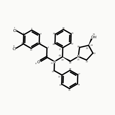 O=C(Cc1ccc(Cl)c(Cl)c1)N(Cc1ccccc1)[C@H](CN1CC[C@H](O)C1)c1ccccc1